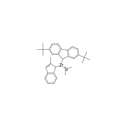 CC1=Cc2ccccc2[CH]1[Zr]([CH]1c2cc(C(C)(C)C)ccc2-c2ccc(C(C)(C)C)cc21)=[Si](C)C